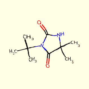 CC1(C)NC(=O)N(C(C)(C)C)C1=O